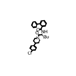 CC[C@H](C)[C@@H](NC(=O)c1ccccc1-c1ccccc1)C(=O)N1CCC(c2ccc(Cl)cc2)CC1